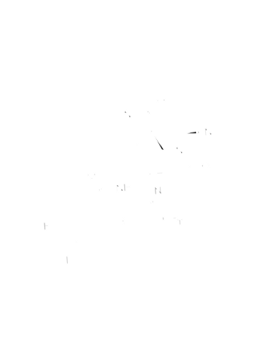 CC(C)C[C@@H](C(=O)N1C[C@]2(C[C@H]1C#N)C(=O)Nc1ccccc12)N(C)C(=O)[C@H](C)NC(=O)c1ccc(F)c(F)c1